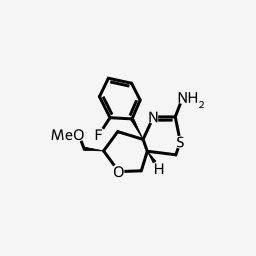 COC[C@H]1C[C@]2(c3ccccc3F)N=C(N)SC[C@@H]2CO1